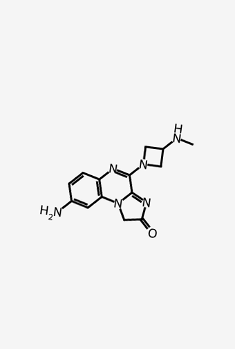 CNC1CN(C2=Nc3ccc(N)cc3N3CC(=O)N=C23)C1